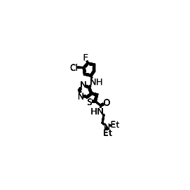 CCN(CC)CCNC(=O)c1cc2c(Nc3ccc(F)c(Cl)c3)ncnc2s1